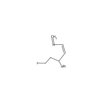 C=N/C=C\C(CCC)CCI